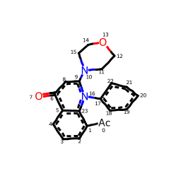 CC(=O)c1cccc2c(=O)cc(N3CCOCC3)n(-c3ccccc3)c12